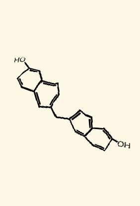 Oc1ccc2cc(Cc3ccc4cc(O)ccc4c3)ccc2c1